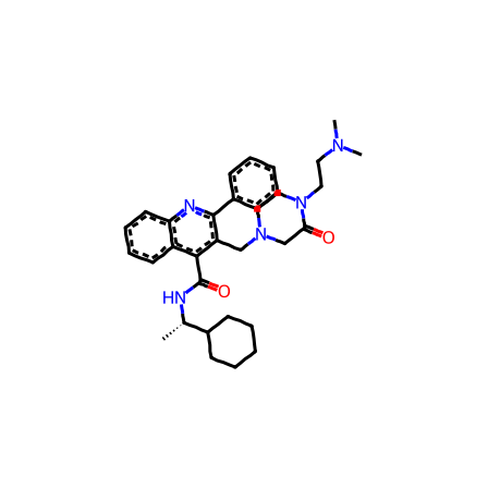 C[C@H](NC(=O)c1c(CN2CCN(CCN(C)C)C(=O)C2)c(-c2ccccc2)nc2ccccc12)C1CCCCC1